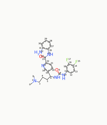 CN(C)CCCC(NC(=O)Nc1ccc(F)c(F)c1)c1ccc(C(=O)Nc2ccccc2N)nc1